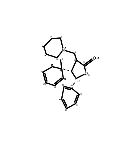 CC1([C@@H]2C(CN3CCCCC3)C(=O)O[C@@H]2c2ccccc2)C=CC=CC1